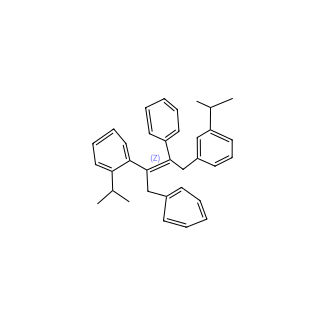 CC(C)c1cccc(C/C(=C(\Cc2ccccc2)c2ccccc2C(C)C)c2ccccc2)c1